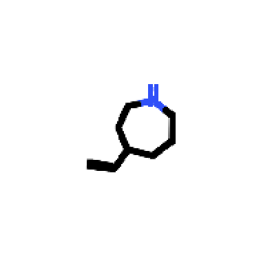 C=CC1CCCNCC1